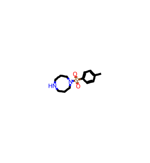 Cc1ccc(S(=O)(=O)N2CCCNCCC2)cc1